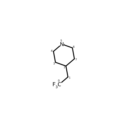 FC(F)(F)CC1CC[N]CC1